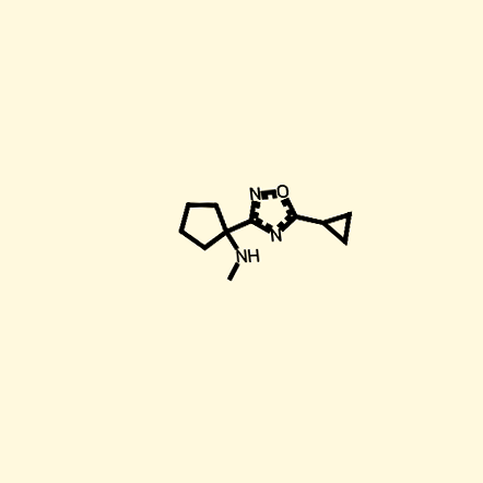 CNC1(c2noc(C3CC3)n2)CCCC1